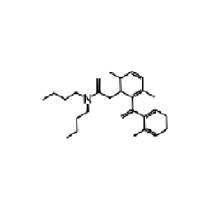 C=C(C1=CCCC=C1C)C1=C(C)C=CC(C)C1CC(=C)N(CCCC)CCCC